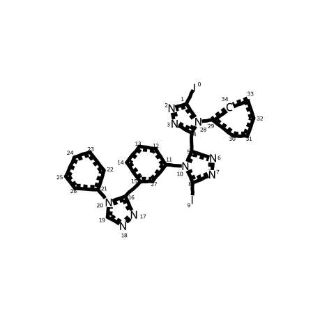 Ic1nnc(-c2nnc(I)n2-c2cccc(-c3nncn3-c3ccccc3)c2)n1-c1ccccc1